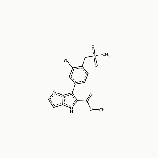 COC(=O)c1[nH]c2ccsc2c1-c1ccc(CS(C)(=O)=O)c(Cl)c1